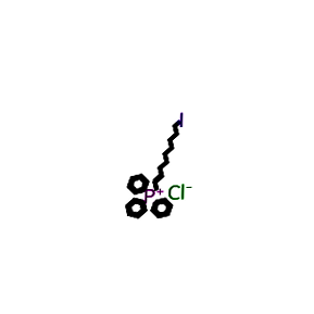 ICCCCCCCC=CC[P+](c1ccccc1)(c1ccccc1)c1ccccc1.[Cl-]